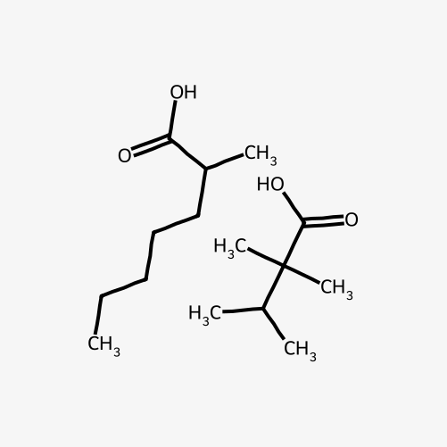 CC(C)C(C)(C)C(=O)O.CCCCCC(C)C(=O)O